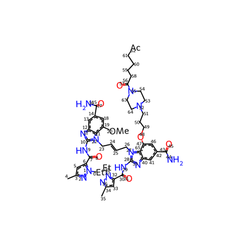 CCn1nc(C)cc1C(=O)Nc1nc2cc(C(N)=O)cc(OC)c2n1C/C=C/Cn1c(NC(=O)c2cc(C)nn2CC)nc2cc(C(N)=O)cc(OCCCN3CCN(C(=O)CCCCC(C)=O)CC3)c21